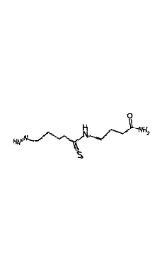 N=NCCCCC(=S)NCCCC(N)=O